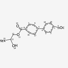 CCCCCCCCc1ccc(-c2ccc(C(=O)OCC(O)CCCCCC)cc2)cc1